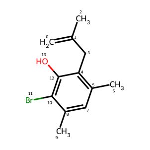 C=C(C)Cc1c(C)cc(C)c(Br)c1O